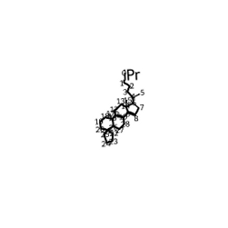 CC(C)CCC[C@@H](C)[C@H]1CC=C2C3=C(CC[C@@]21C)[C@@]1(C)CCCC2(CCCC2)C1CC3